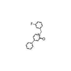 O=c1cc(-c2ccccc2)ccn1Cc1cccc(F)c1